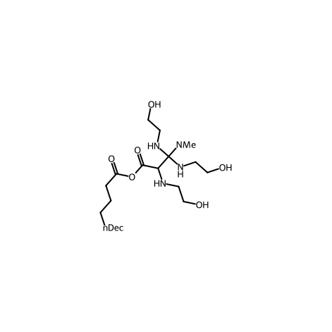 CCCCCCCCCCCCCC(=O)OC(=O)C(NCCO)C(NC)(NCCO)NCCO